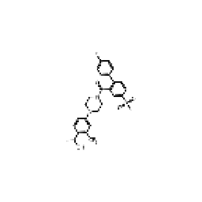 CC(O)c1ccc(N2CCN(C(=O)c3cc(S(C)(=O)=O)ccc3-c3ccc(F)cc3)CC2)cc1C(F)(F)F